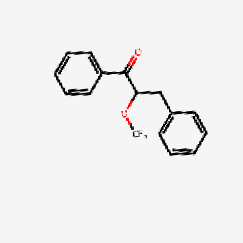 O=C(c1ccccc1)C(Cc1ccccc1)OC(F)(F)F